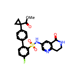 COC(=O)C1(c2ccc(-c3ccc(F)cc3S(=O)(=O)Nc3cnc4c(c3)C(=O)NCC4)cc2)CC1